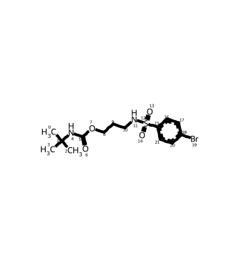 CC(C)(C)NC(=O)OCCCNS(=O)(=O)c1ccc(Br)cc1